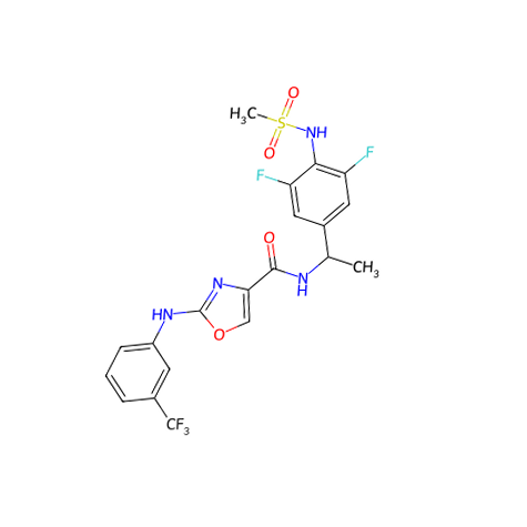 CC(NC(=O)c1coc(Nc2cccc(C(F)(F)F)c2)n1)c1cc(F)c(NS(C)(=O)=O)c(F)c1